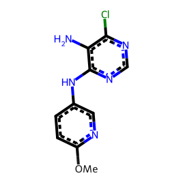 COc1ccc(Nc2ncnc(Cl)c2N)cn1